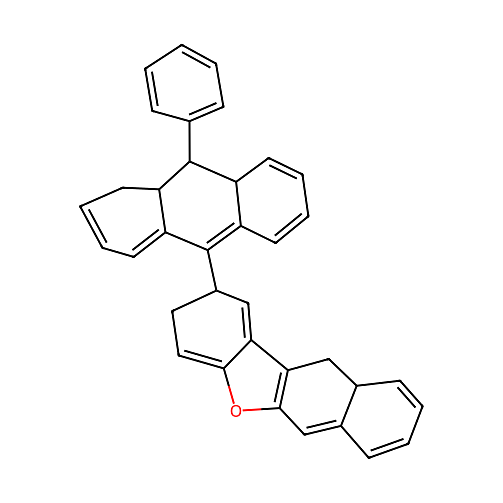 C1=CCC2C(=C1)C(C1C=c3c4c(oc3=CC1)C=C1C=CC=CC1C4)=C1C=CC=CC1C2c1ccccc1